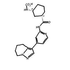 O=C(O)N[C@@H]1CCC[C@H](C(=O)Nc2cc(-c3cnn4c3CCCC4)ccn2)C1